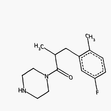 Cc1ccc(F)cc1CC(C)C(=O)N1CCNCC1